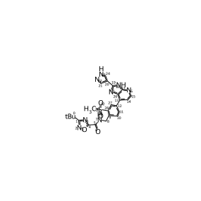 CC(C)(C)c1noc(C(=O)NCc2ccc(-c3ccnc4[nH]c(-c5cn[nH]c5)nc34)cc2S(C)(=O)=O)n1